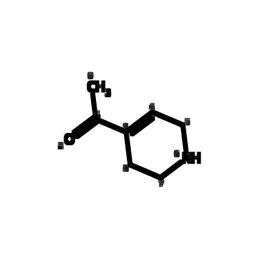 CC(=O)C1=CCNCC1